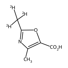 [2H]C([2H])([2H])c1nc(C)c(C(=O)O)o1